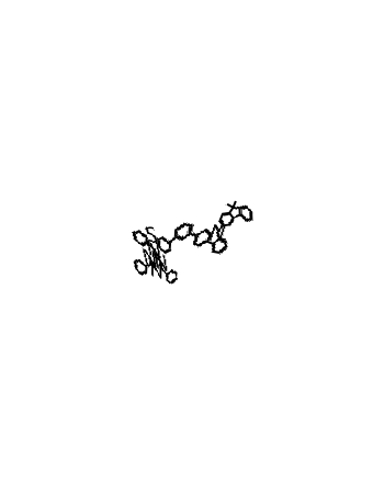 CC1(C)c2ccccc2-c2cc(-n3c4ccccc4c4ccc(-c5cccc(-c6ccc7c(c6)Sc6ccccc6N7c6nc(-c7ccccc7)nc(-c7ccccc7)n6)c5)cc43)ccc21